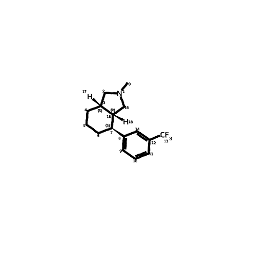 CN1C[C@H]2CCC[C@H](c3cccc(C(F)(F)F)c3)[C@H]2C1